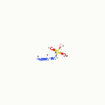 N=[N+]=NS(=O)(=O)[O-]